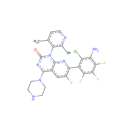 Cc1ccnc(C(C)C)c1-n1c(=O)nc(N2CCNCC2)c2cc(F)c(-c3c(F)c(F)c(F)c(N)c3Cl)nc21